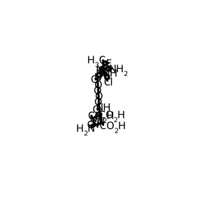 Cc1cc(F)cc(-c2cnc(N3CCN(C(=O)CCOCCOCCOCCOCCNC(=O)CCC(C(=O)O)N4CCN(CC(=O)O)CCN(CC(N)=O)CCN(CC(=O)O)CC4)CC3)c(-c3nc4cc(Cl)ccc4[nH]3)c2N2CCC(N)CC2)c1